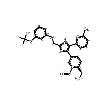 C=Nn1cc(-c2nc(CNc3cccc(OC(F)(F)F)c3)[nH]c2-c2cccc(C)n2)cc/c1=N/C